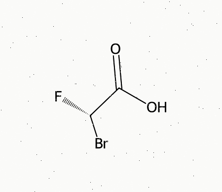 O=C(O)[C@@H](F)Br